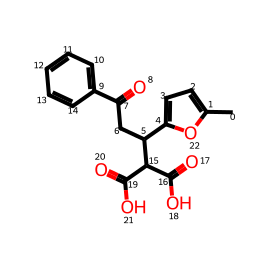 Cc1ccc(C(CC(=O)c2ccccc2)C(C(=O)O)C(=O)O)o1